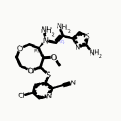 COC1C(Sc2cc(Cl)cnc2C#N)OCCOC[C@H]1N(N)/C=C(\N)c1csc(N)n1